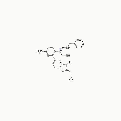 Cc1ccc(/C(C=N)=C/NCc2ccccc2)c(C2=CCC3CN(CC4CC4)C(=O)C3=C2)n1